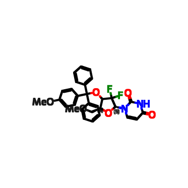 COC[C@@H]1O[C@H](n2ccc(=O)[nH]c2=O)C(F)(F)C1OC(c1ccccc1)(c1ccccc1)c1ccc(OC)cc1